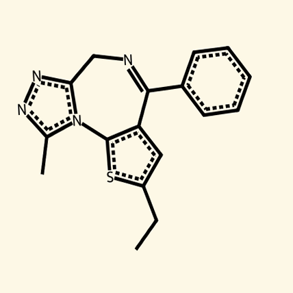 CCc1cc2c(s1)-n1c(C)nnc1CN=C2c1ccccc1